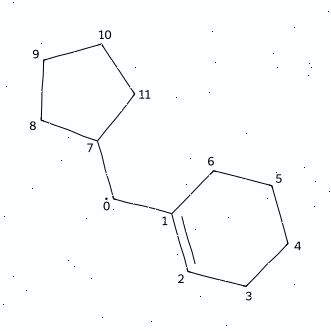 [CH](C1=CCCCC1)C1CCCC1